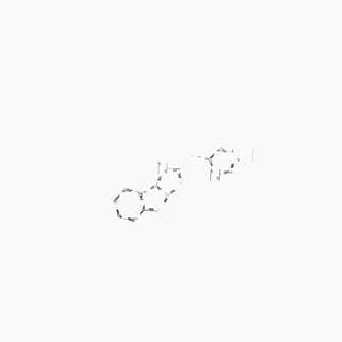 c1ccc2c(c1)oc1sc(Cc3c[nH]cn3)nc12